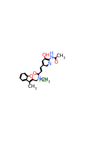 CC(=O)Nc1ncc(C=CC(=O)N(C)Cc2oc3ccccc3c2C)cc1O.Cl